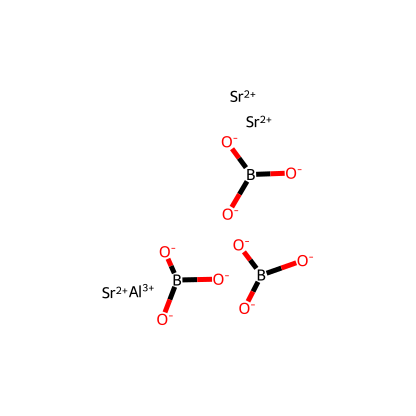 [Al+3].[O-]B([O-])[O-].[O-]B([O-])[O-].[O-]B([O-])[O-].[Sr+2].[Sr+2].[Sr+2]